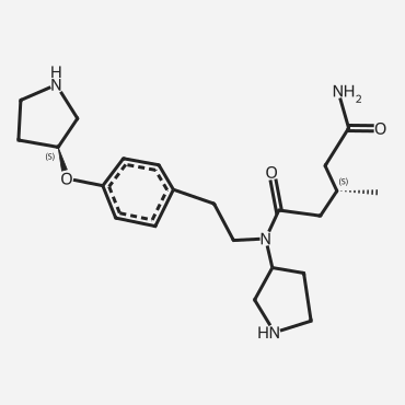 C[C@@H](CC(N)=O)CC(=O)N(CCc1ccc(O[C@H]2CCNC2)cc1)C1CCNC1